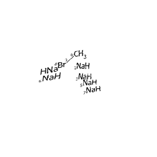 CBr.[NaH].[NaH].[NaH].[NaH].[NaH].[NaH]